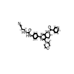 C[C@H]1COCCN1c1nc(-c2ccc(NC(=O)NCCC#N)cc2)nc2c1CCN(C(=O)c1cccnc1)C2